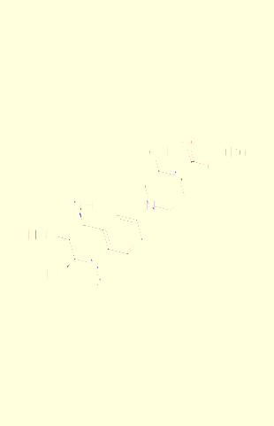 CC(=O)N1c2ccc(N3CCN(C(=O)OC(C)(C)C)C(C)C3)cc2[C@H](N)C(C)[C@@H]1C